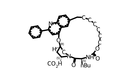 CCCC[C@@H]1NC(=O)OCCCCCCCc2ccc3nc(-c4ccccc4)cc(c3c2)O[C@@H]2C[C@@H](C(=O)O)N(C2)C1=O